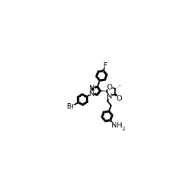 C[C@H]1O[C@H](c2cn(-c3ccc(Br)cc3)nc2-c2ccc(F)cc2)N(CCc2cccc(N)c2)C1=O